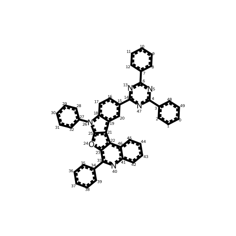 c1ccc(-c2nc(-c3ccccc3)nc(-c3ccc4c(c3)c3c5c(oc3n4-c3ccccc3)c(-c3ccccc3)nc3ccccc35)n2)cc1